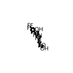 Cc1cc(C(F)(F)F)cc(O)c1-c1nc2nc(N3CC(N(C)C(=O)O)C3)cnc2n1C